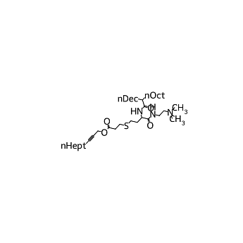 CCCCCCCC#CCOC(=O)CCSCCC(NC(=O)C(CCCCCCCC)CCCCCCCCCC)C(=O)NCCN(C)C